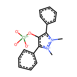 Cn1c(-c2ccccc2)c(O[Cl+3]([O-])([O-])[O-])c(-c2ccccc2)[n+]1C